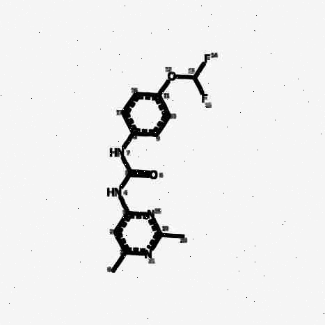 Cc1cc(NC(=O)Nc2ccc(OC(F)F)cc2)nc(C)n1